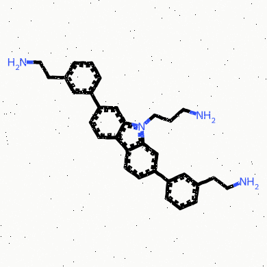 NCCCn1c2cc(-c3cccc(CCN)c3)ccc2c2ccc(-c3cccc(CCN)c3)cc21